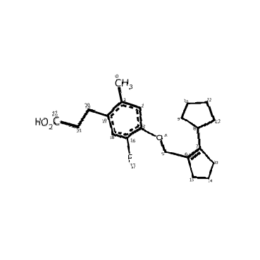 Cc1cc(OCC2=C(C3CCCC3)CCC2)c(F)cc1CCC(=O)O